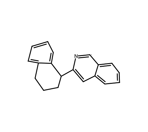 [c]1nc(C2CCCc3ccccc32)cc2ccccc12